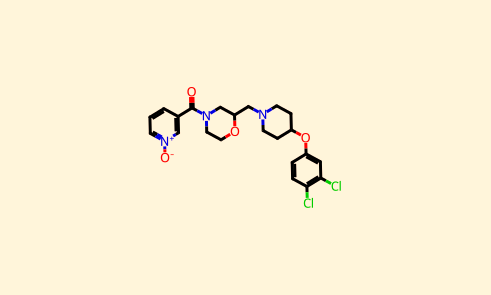 O=C(c1ccc[n+]([O-])c1)N1CCOC(CN2CCC(Oc3ccc(Cl)c(Cl)c3)CC2)C1